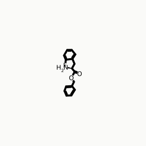 N[C@@H](Cc1ccccc1F)C(=O)OCc1ccccc1